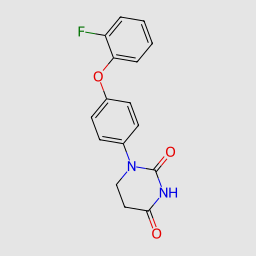 O=C1CCN(c2ccc(Oc3ccccc3F)cc2)C(=O)N1